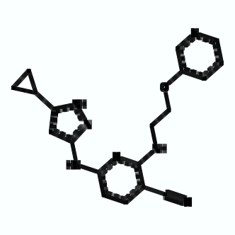 N#Cc1ccc(Nc2cc(C3CC3)[nH]n2)nc1NCCOc1cccnc1